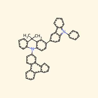 CC1(C)c2ccccc2N(c2ccc3c4ccccc4c4ccccc4c3c2)c2ccc(-c3ccc4c(c3)c3ccccc3n4-c3ccccc3)cc21